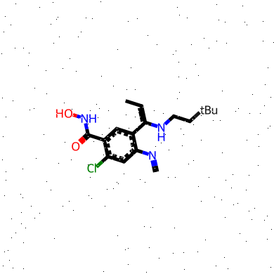 C=Nc1cc(Cl)c(C(=O)NO)cc1/C(=C\C)NCCC(C)(C)C